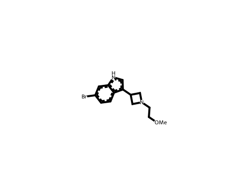 COCCN1CC(c2c[nH]c3cc(Br)ccc23)C1